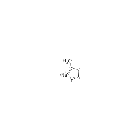 CC1=CC=CC1.[Na]